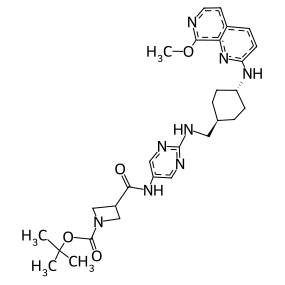 COc1nccc2ccc(N[C@H]3CC[C@H](CNc4ncc(NC(=O)C5CN(C(=O)OC(C)(C)C)C5)cn4)CC3)nc12